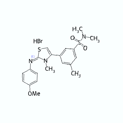 Br.COc1ccc(/N=c2/scc(-c3cc(C)cc(S(=O)(=O)N(C)C)c3)n2C)cc1